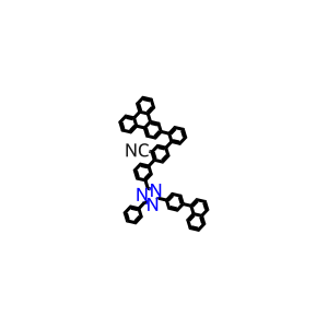 N#Cc1cc(-c2ccccc2-c2ccc3c4ccccc4c4ccccc4c3c2)ccc1-c1cccc(-c2nc(-c3ccccc3)nc(-c3ccc(-c4cccc5ccccc45)cc3)n2)c1